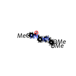 COc1ccc(C(=O)NCc2cccc(N3CCN(Cc4ccc(OC)c(OC)c4)CC3)c2)cc1